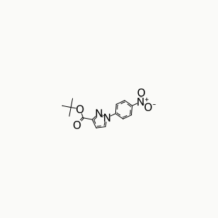 CC(C)(C)OC(=O)c1ccn(-c2ccc([N+](=O)[O-])cc2)n1